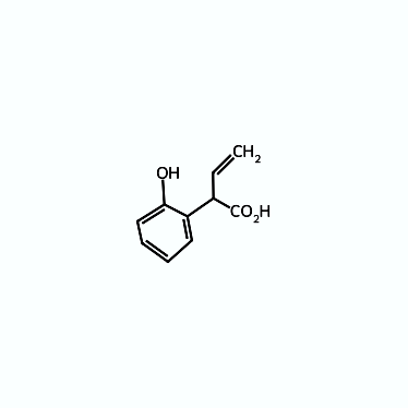 C=CC(C(=O)O)c1ccccc1O